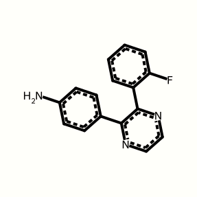 Nc1ccc(-c2nccnc2-c2ccccc2F)cc1